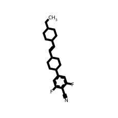 CCC1CCC(/C=C/C2CCC(c3cc(F)c(C#N)c(F)c3)CC2)CC1